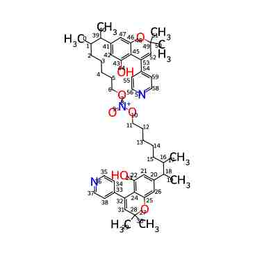 CC(CCCCCO[N+](=O)OCCCCCC(C)C(C)c1cc(O)c2c(c1)OC(C)(C)C=C2c1ccncc1)C(C)c1cc(O)c2c(c1)OC(C)(C)C=C2c1ccncc1